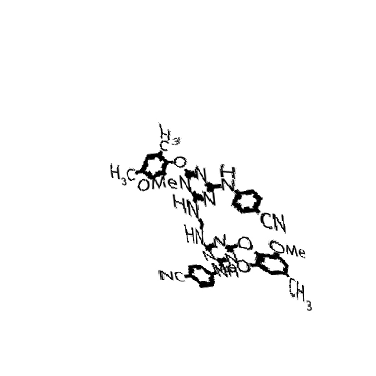 COc1cc(C)cc(C)c1Oc1nc(NCNc2nc(Nc3ccc(C#N)cc3)nc(Oc3c(OC)cc(C)cc3OC)n2)nc(Nc2ccc(C#N)cc2)n1